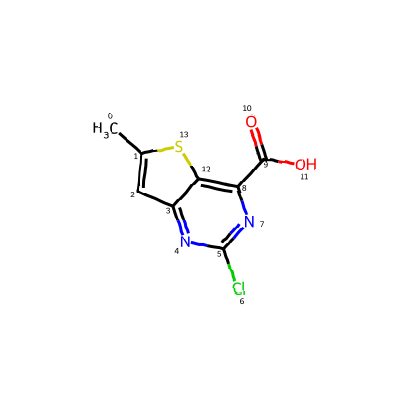 Cc1cc2nc(Cl)nc(C(=O)O)c2s1